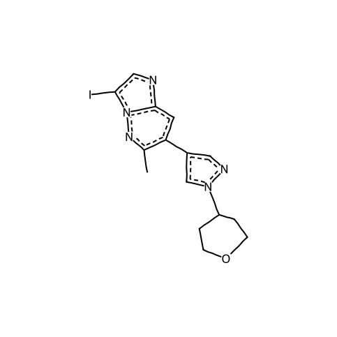 Cc1nn2c(I)cnc2cc1-c1cnn(C2CCOCC2)c1